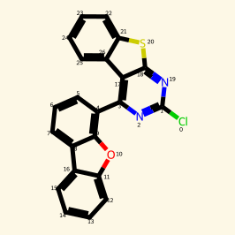 Clc1nc(-c2cccc3c2oc2ccccc23)c2c(n1)sc1ccccc12